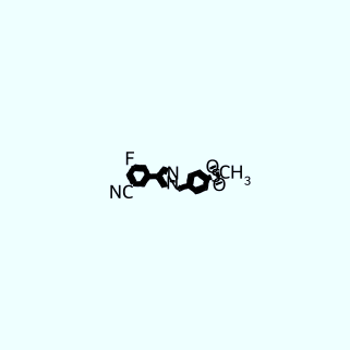 CS(=O)(=O)c1ccc(Cn2cc(-c3cc(F)cc(C#N)c3)cn2)cc1